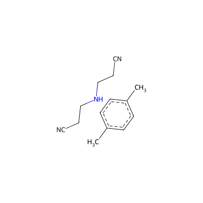 Cc1ccc(C)cc1.N#CCCNCCC#N